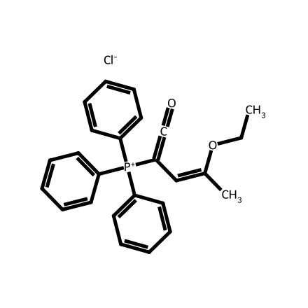 CCOC(C)=CC(=C=O)[P+](c1ccccc1)(c1ccccc1)c1ccccc1.[Cl-]